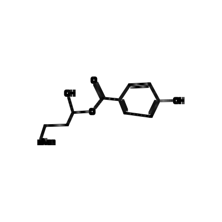 CCCCCCCCCCCC(O)OC(=O)c1ccc(O)cc1